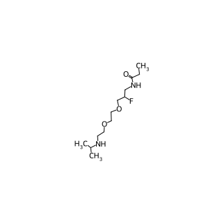 CCC(=O)NCC(F)COCCOCCNC(C)C